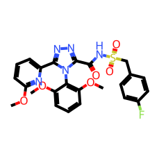 COc1cccc(-c2nnc(C(=O)NS(=O)(=O)Cc3ccc(F)cc3)n2-c2c(OC)cccc2OC)n1